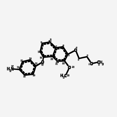 COCCOc1cc2nccc(Oc3ccc(N)cc3)c2nc1OC